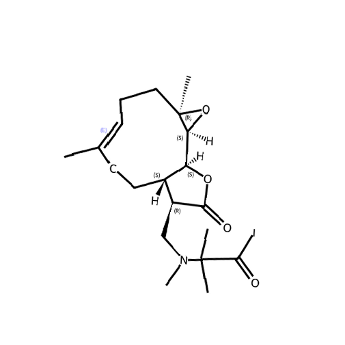 C/C1=C\CC[C@@]2(C)O[C@H]2[C@H]2OC(=O)[C@@H](CN(C)C(C)(C)C(=O)I)[C@@H]2CC1